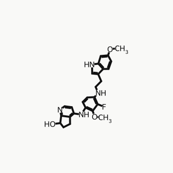 COc1ccc2c(CCNc3ccc(Nc4ccnc5c4CCC5O)c(OC)c3F)c[nH]c2c1